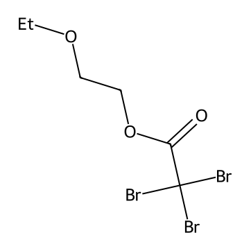 CCOCCOC(=O)C(Br)(Br)Br